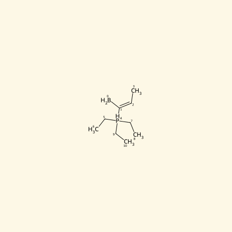 B/C(=C\C)[PH](CC)(CC)CC